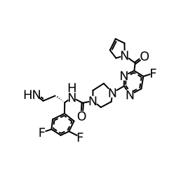 N=CC[C@H](NC(=O)N1CCN(c2ncc(F)c(C(=O)N3CC=CC3)n2)CC1)c1cc(F)cc(F)c1